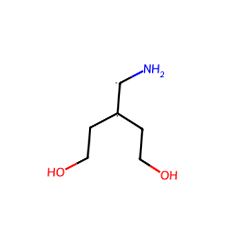 N[CH][C](CCO)CCO